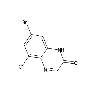 O=c1cnc2c(Cl)cc(Br)cc2[nH]1